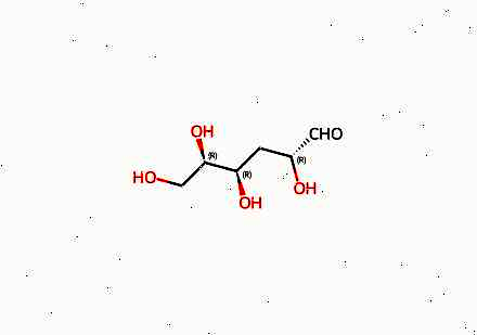 O=C[C@H](O)C[C@@H](O)[C@H](O)CO